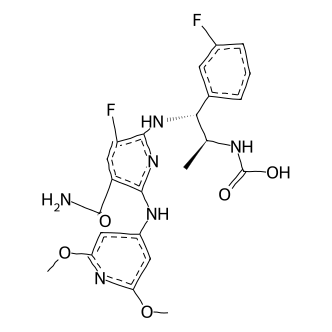 COc1cc(Nc2nc(N[C@H](c3cccc(F)c3)[C@H](C)NC(=O)O)c(F)cc2C(N)=O)cc(OC)n1